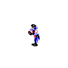 O=C(NCc1nc2ccccc2s1)C(=O)C(Cc1ccccc1)NC(=O)c1cccnc1-n1ccc(-c2ccccc2)n1